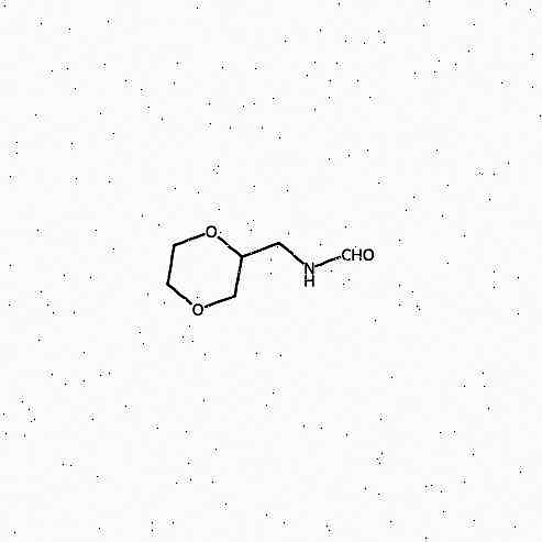 O=CNCC1COCCO1